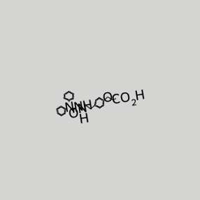 O=C(O)COc1ccc(CCNNC(=O)N(c2ccccc2)c2ccccc2)cc1